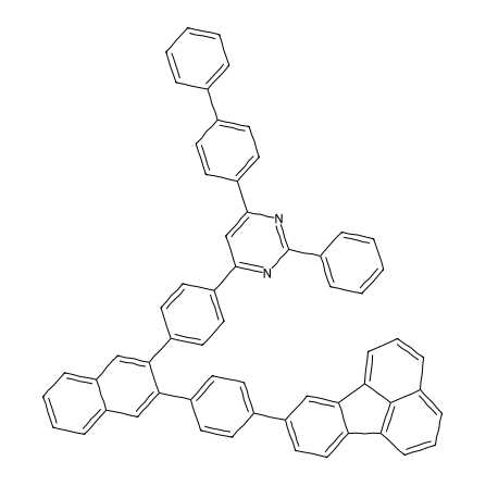 c1ccc(-c2ccc(-c3cc(-c4ccc(-c5cc6ccccc6cc5-c5ccc(-c6ccc7c(c6)-c6cccc8cccc-7c68)cc5)cc4)nc(-c4ccccc4)n3)cc2)cc1